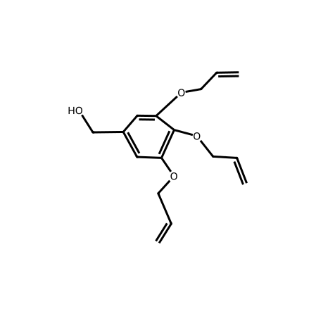 C=CCOc1cc(CO)cc(OCC=C)c1OCC=C